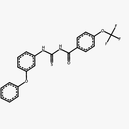 O=C(NC(=S)Nc1cccc(Oc2ccccc2)c1)c1ccc(OC(F)(F)F)cc1